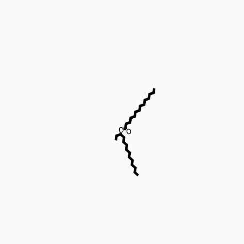 CCCCCCCCCCCCCC(=O)OC(CC)CCCCCCCCCCC